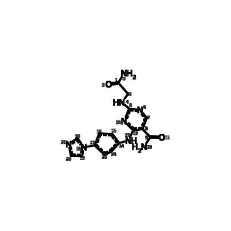 NC(=O)CNc1ncc(C(N)=O)c(Nc2ccc(-n3ccnc3)cc2)n1